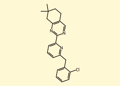 CC1(C)CCc2cnc(-c3cccc(Cc4ccccc4Cl)n3)nc2C1